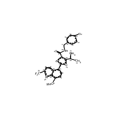 COc1ccc(-c2nc(C(=O)NCc3ccc(Cl)cc3)c(C(C)N)o2)c2ccc(C(F)(F)F)nc12